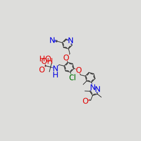 Cc1nn(-c2cccc(COc3cc(OCc4cncc(C#N)c4)c(CNC(C)(CO)C(=O)O)cc3Cl)c2C)c(C)c1C=O